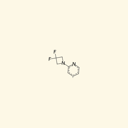 FC1(F)CN(c2c[c]ccn2)C1